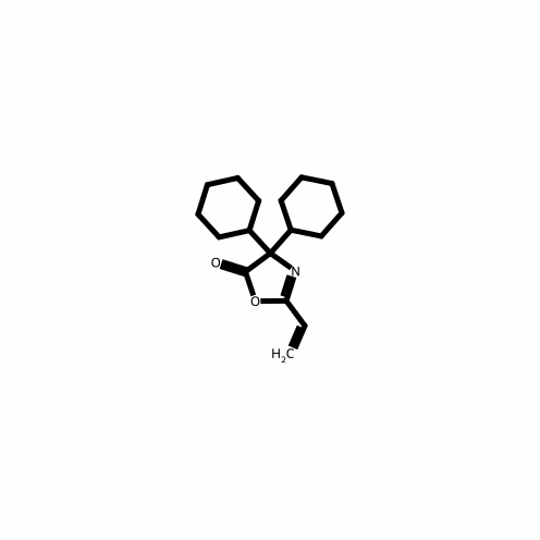 C=CC1=NC(C2CCCCC2)(C2CCCCC2)C(=O)O1